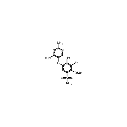 CCc1c(OC)c(S(N)(=O)=O)cc(Oc2cnc(N)nc2N)c1C(C)C